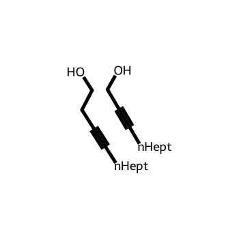 CCCCCCCC#CCCO.CCCCCCCC#CCO